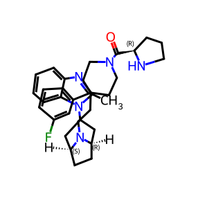 Cc1nc2ccccc2n1C1C[C@H]2CC[C@@H](C1)N2CCC1(c2cccc(F)c2)CCN(C(=O)[C@H]2CCCN2)CC1